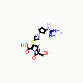 C[C@@H](O)[C@H]1C(=O)N2C(C(=O)O)=C(SC3CN([C@@H]4CC[C@@H](NC(=N)N)C4)C3)[C@H](C)[C@H]12